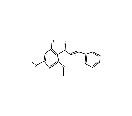 COc1cc(O)c(C(=O)/C=C/c2ccccc2)c(OC)c1